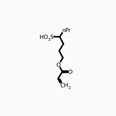 C=CC(=O)OCCCC(CCC)S(=O)(=O)O